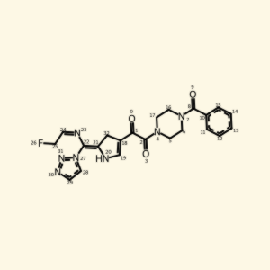 O=C(C(=O)N1CCN(C(=O)c2ccccc2)CC1)C1=CN/C(=C(/N=C\CF)n2ccnn2)C1